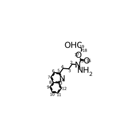 NN(CCCc1ccc2ccccc2n1)C(=O)OCC=O